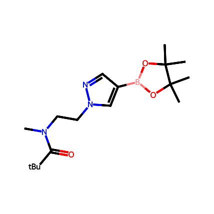 CN(CCn1cc(B2OC(C)(C)C(C)(C)O2)cn1)C(=O)C(C)(C)C